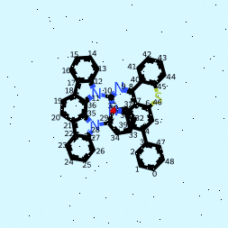 c1ccc(-c2cc3c4c(nc(-n5c6ccccc6c6ccc7c8ccccc8n(-c8ccccc8)c7c65)nc4c2)-c2ccccc2S3)cc1